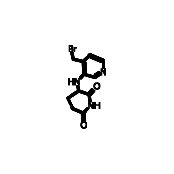 O=C1CCC(Nc2cnccc2CBr)C(=O)N1